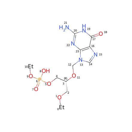 CCOC[C@H](COP(=O)(O)OCC)OCn1cnc2c(=O)[nH]c(N)nc21